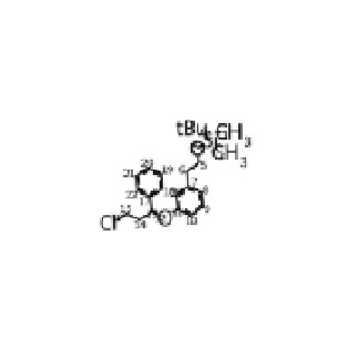 CC(C)(C)[Si](C)(C)OCCc1cccc(OC(CCCl)c2ccccc2)c1